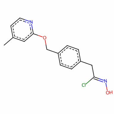 Cc1ccnc(OCc2ccc(CC(Cl)=NO)cc2)c1